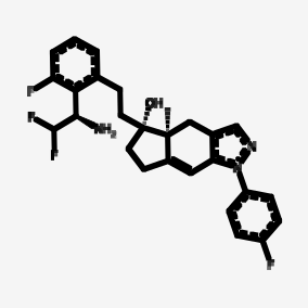 C[C@]12Cc3cnn(-c4ccc(F)cc4)c3C=C1CC[C@@]2(O)CCc1cccc(F)c1[C@@H](N)C(F)F